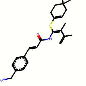 C=C(C)/C(C)=C(\NC(=O)/C=C/c1ccc(CN)cc1)SC1=CCC(C)(C)CC1